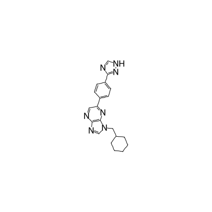 c1nc(-c2ccc(-c3cnc4ncn(CC5CCCCC5)c4n3)cc2)n[nH]1